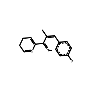 C/N=C(C1=CCCC=N1)\C(C)=C/c1ccc(F)cc1